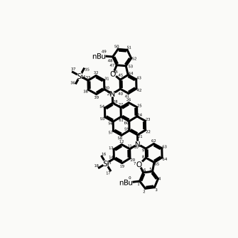 CCCCc1cccc2c1oc1c(N(c3ccc([Si](C)(C)C)cc3)c3ccc4ccc5c(N(c6ccc([Si](C)(C)C)cc6)c6cccc7c6oc6c(CCCC)cccc67)ccc6ccc3c4c65)cccc12